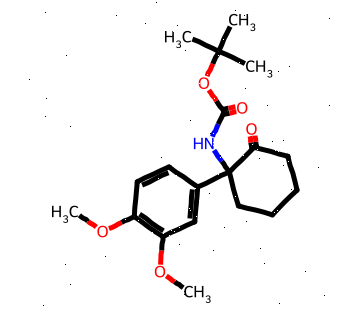 COc1ccc(C2(NC(=O)OC(C)(C)C)CCCCC2=O)cc1OC